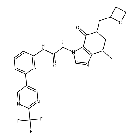 C[C@@H](C(=O)Nc1cccc(-c2cnc(C(F)(F)F)nc2)n1)n1cnc2c1C(=O)N(CC1CCO1)CN2C